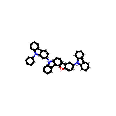 c1ccc(-n2c3ccccc3c3ccc(-n4c5ccccc5c5c6oc7ccc(-n8c9ccccc9c9ccccc98)cc7c6ccc54)cc32)cc1